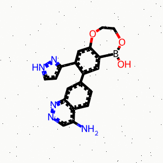 Nc1cnnc2cc(-c3cc4c(cc3-c3cc[nH]n3)OCCOB4O)ccc12